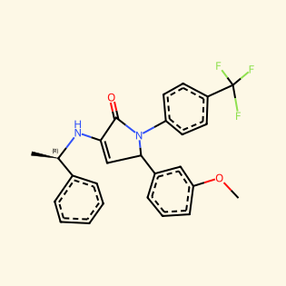 COc1cccc(C2C=C(N[C@H](C)c3ccccc3)C(=O)N2c2ccc(C(F)(F)F)cc2)c1